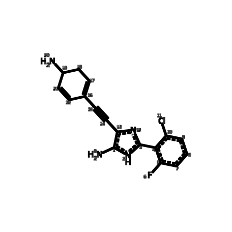 Nc1[nH]c(-c2c(F)cccc2Cl)nc1C#CC1=CCC(N)C=C1